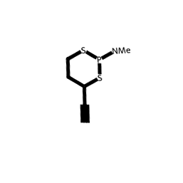 C#CC1CCSP(NC)S1